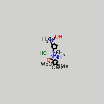 COc1cc2[nH]c(N(C)Cc3cccc(CN(C)CCO)c3)nc(=O)c2c(OC)c1OC.Cl